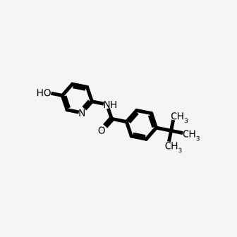 CC(C)(C)c1ccc(C(=O)Nc2ccc(O)cn2)cc1